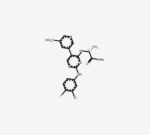 CCOC(=O)c1cncc(-c2cnc(Nc3ccc(F)c(Cl)c3)nc2N[C@H](C)C(=O)OC)c1